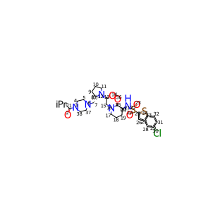 CC(C)C(=O)N1CCN(C[C@@H]2CCCN2C(=O)CN2CCC[C@H](NS(=O)(=O)c3cc4cc(Cl)ccc4s3)C2=O)CC1